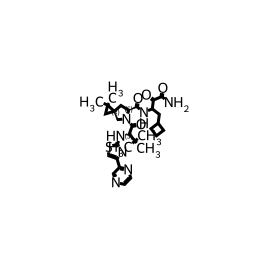 CC(C)(C)[C@H](Nc1nc(-c2cnccn2)cs1)C(=O)N1C[C@@]2(C[C@H]1C(=O)NC(CC1CCC1)C(=O)C(N)=O)CC2(C)C